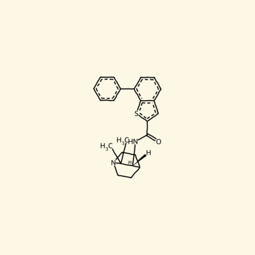 CC1(C)[C@H](NC(=O)c2cc3cccc(-c4ccccc4)c3s2)C2CCN1CC2